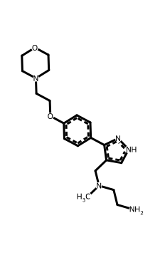 CN(CCN)Cc1c[nH]nc1-c1ccc(OCCN2CCOCC2)cc1